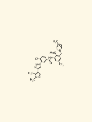 COc1c(CN2CC3CC2CN3C)cc(C(F)(F)F)cc1NC(=O)c1ccc(Cl)c(-n2cc(-c3cnn(C)c3C)nn2)c1